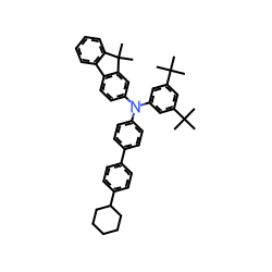 CC(C)(C)c1cc(N(c2ccc(-c3ccc(C4CCCCC4)cc3)cc2)c2ccc3c(c2)C(C)(C)c2ccccc2-3)cc(C(C)(C)C)c1